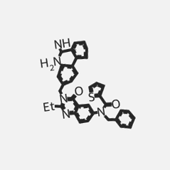 CCc1nc2ccc(N(Cc3ccccc3)C(=O)c3cccs3)cc2c(=O)n1Cc1ccc(-c2ccccc2C(N)N)cc1